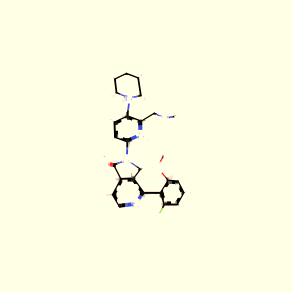 CNCc1nc(N2Cc3c(ccnc3-c3c(F)cccc3OC)C2=O)ccc1N1CCCCC1